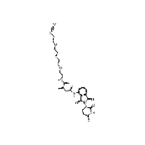 C=C(CC(=O)Nc1cccc2c1C(=O)N(C1CCC(=O)NC1=O)C2=O)C(=O)NCCOCCOCCOCCN=[N+]=[N-]